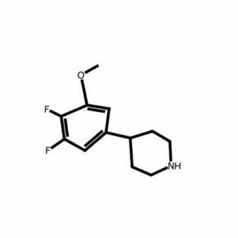 COc1cc(C2CCNCC2)cc(F)c1F